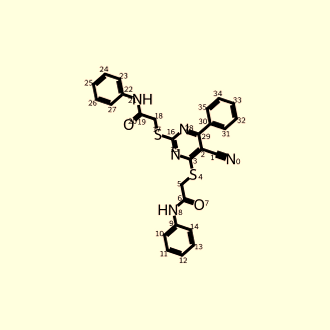 N#Cc1c(SCC(=O)Nc2ccccc2)nc(SCC(=O)Nc2ccccc2)nc1-c1ccccc1